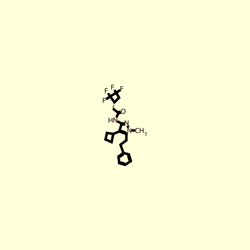 Cn1nc(NC(=O)C[C@H]2CC(F)(F)C2(F)F)c(C2CCC2)c1CCc1ccccc1